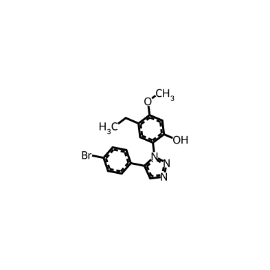 CCc1cc(-n2nncc2-c2ccc(Br)cc2)c(O)cc1OC